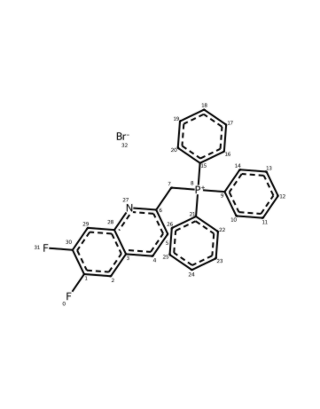 Fc1cc2ccc(C[P+](c3ccccc3)(c3ccccc3)c3ccccc3)nc2cc1F.[Br-]